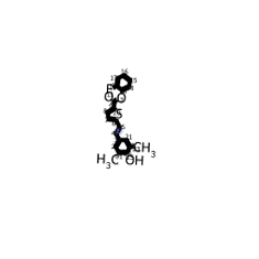 Cc1cc(/C=C/c2ccc(C(=O)Oc3ccccc3F)s2)cc(C)c1O